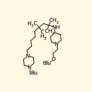 CC(C)(CCCCCN1CCN(C(C)(C)C)CC1)CC(C)(C)NC1CCN(CCOC(C)(C)C)CC1